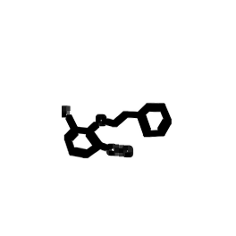 O=Cc1cccc(F)c1OCCc1ccccc1